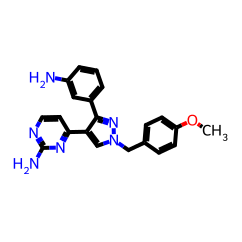 COc1ccc(Cn2cc(-c3ccnc(N)n3)c(-c3cccc(N)c3)n2)cc1